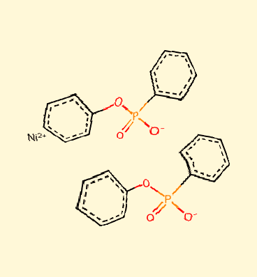 O=P([O-])(Oc1ccccc1)c1ccccc1.O=P([O-])(Oc1ccccc1)c1ccccc1.[Ni+2]